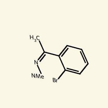 CN/N=C(/C)c1ccccc1Br